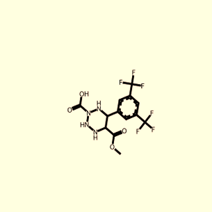 COC(=O)C1NNN(C(=O)O)NC1c1cc(C(F)(F)F)cc(C(F)(F)F)c1